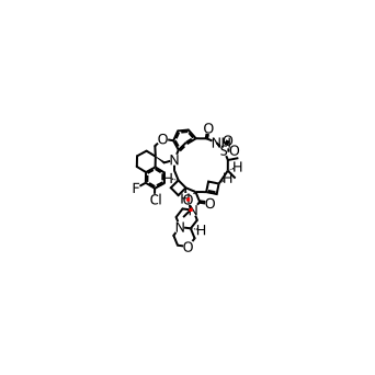 CCO[C@@]1(C(=O)N2CCN3CCOC[C@@H]3C2)C2=C[C@@H](C2)[C@H](C)C(C)S(=O)(=O)NC(=O)c2ccc3c(c2)N(C[C@@H]2CC[C@H]21)C[C@@]1(CCCc2c1ccc(Cl)c2F)CO3